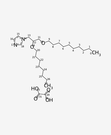 CCCCCCCCCCOCC(Cn1ccnc1)OCCCCCCCC.O=C(O)C(=O)O